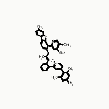 C/C(=C\c1ccccc1-c1cc(-c2c(C)cc(C)cc2C)cc[n+]1C)Cc1ccc2c(oc3cc(C)ccc32)c1-c1cc(C(C)(C)C)c(C)cn1